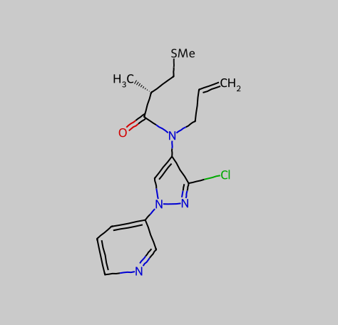 C=CCN(C(=O)[C@H](C)CSC)c1cn(-c2cccnc2)nc1Cl